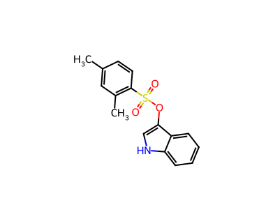 Cc1ccc(S(=O)(=O)Oc2c[nH]c3ccccc23)c(C)c1